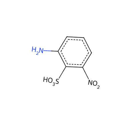 Nc1cccc([N+](=O)[O-])c1S(=O)(=O)O